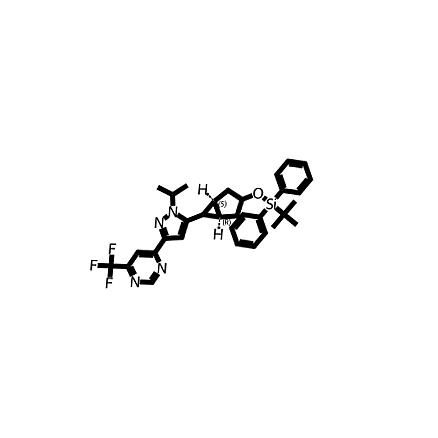 CC(C)n1nc(-c2cc(C(F)(F)F)ncn2)cc1C1[C@H]2CC(O[Si](c3ccccc3)(c3ccccc3)C(C)(C)C)C[C@@H]12